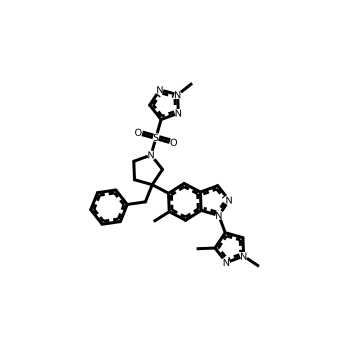 Cc1cc2c(cnn2-c2cn(C)nc2C)cc1C1(Cc2ccccc2)CCN(S(=O)(=O)c2cnn(C)n2)C1